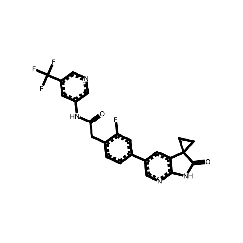 O=C(Cc1ccc(-c2cnc3c(c2)C2(CC2)C(=O)N3)cc1F)Nc1cncc(C(F)(F)F)c1